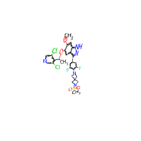 COc1cc2[nH]nc(-c3cc(F)c(N4CC5(C4)CN(S(C)(=O)=O)C5)c(F)c3)c2cc1OC(C)c1c(Cl)cncc1Cl